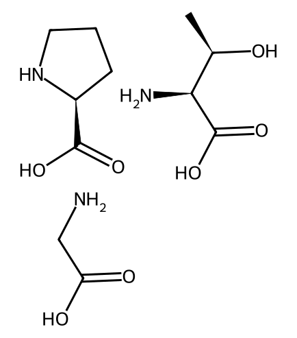 C[C@@H](O)[C@H](N)C(=O)O.NCC(=O)O.O=C(O)[C@@H]1CCCN1